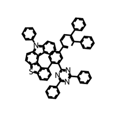 C=C(/C=C\C(=C(/C)c1ccccc1)c1ccccc1)c1ccc(-c2cccc3sc4ccc5c(c6ccccc6n5-c5ccccc5)c4c23)c(-c2nc(-c3ccccc3)nc(-c3ccccc3)n2)c1